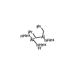 CCCCC[CH2][Al+][CH2]CCCCC.CCCCC[CH2][Al]([CH2]C(C)C)[CH2]C(C)C.[H-]